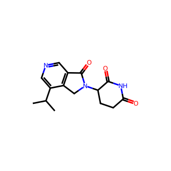 CC(C)c1cncc2c1CN(C1CCC(=O)NC1=O)C2=O